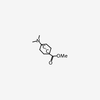 COC(=O)C12CCC(N(C)C)(CC1)CC2